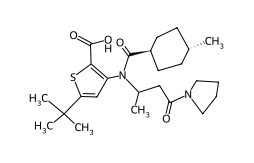 CC(CC(=O)N1CCCC1)N(c1cc(C(C)(C)C)sc1C(=O)O)C(=O)[C@H]1CC[C@H](C)CC1